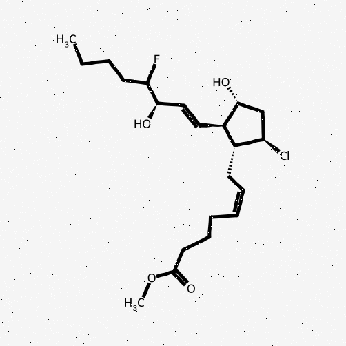 CCCCC(F)[C@H](O)/C=C/[C@@H]1[C@@H](C/C=C\CCCC(=O)OC)[C@H](Cl)C[C@H]1O